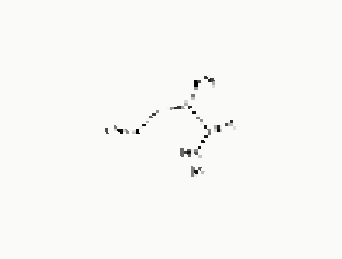 CCCCCCN(CCC)C(=S)S.[K]